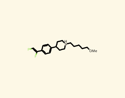 COCCCCC[SiH]1CCC(c2ccc(C(F)=CF)cc2)CC1